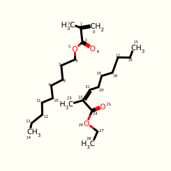 C=C(C)C(=O)OCCCCCCCCC.CCCCCCC=C(C)C(=O)OCC